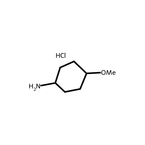 COC1CCC(N)CC1.Cl